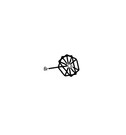 Br[C]12[CH]3[CH]4[CH]5[CH]1[Co]45321678[CH]2[CH]1[CH]6[CH]7[CH]28